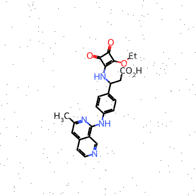 CCOc1c(NC(CC(=O)O)c2ccc(Nc3nc(C)cc4ccncc34)cc2)c(=O)c1=O